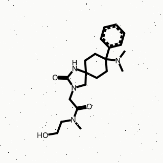 CN(CCO)C(=O)CN1CC2(CCC(c3ccccc3)(N(C)C)CC2)NC1=O